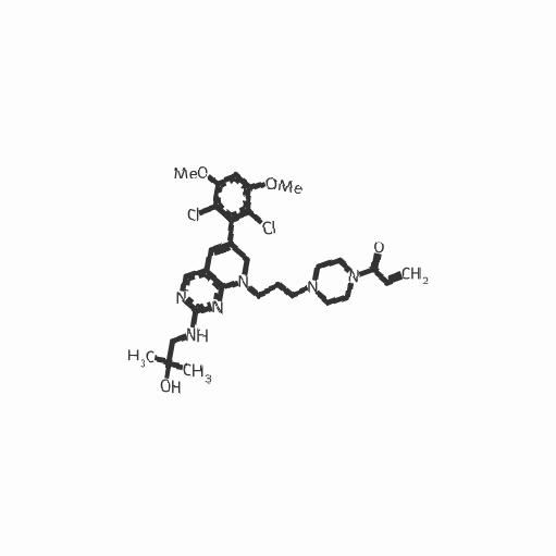 C=CC(=O)N1CCN(CCCN2CC(c3c(Cl)c(OC)cc(OC)c3Cl)=Cc3cnc(NCC(C)(C)O)nc32)CC1